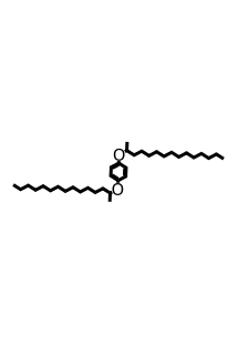 CCCCCCCCCCCCCC(C)Oc1ccc(OC(C)CCCCCCCCCCCCC)cc1